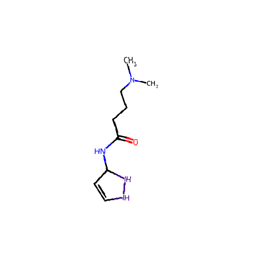 CN(C)CCCC(=O)NC1C=C[IH][IH]1